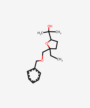 CCC1(COCc2ccccc2)CCC(C(C)(C)O)O1